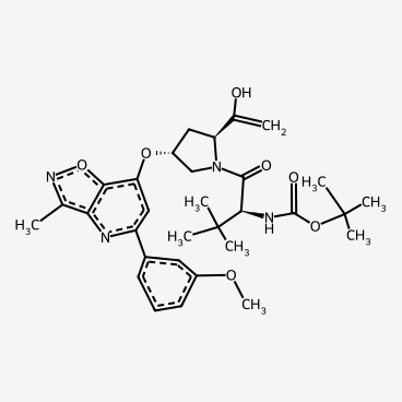 C=C(O)[C@@H]1C[C@@H](Oc2cc(-c3cccc(OC)c3)nc3c(C)noc23)CN1C(=O)[C@@H](NC(=O)OC(C)(C)C)C(C)(C)C